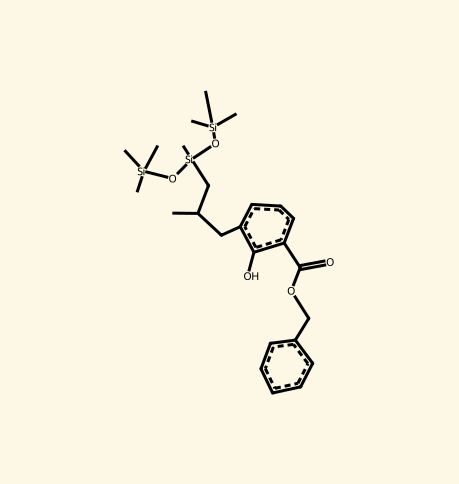 CC(Cc1cccc(C(=O)OCc2ccccc2)c1O)C[Si](C)(O[Si](C)(C)C)O[Si](C)(C)C